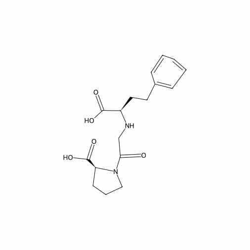 O=C(O)[C@@H](CCc1ccccc1)NCC(=O)N1CCC[C@H]1C(=O)O